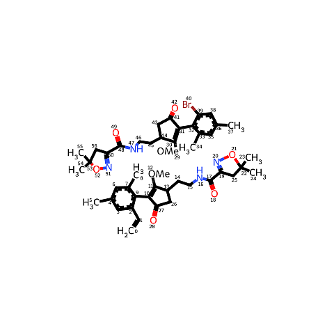 C=Cc1cc(C)cc(C)c1C1=C(OC)C(CCNC(=O)C2=NOC(C)(C)C2)CC1=O.COC1=C(c2c(C)cc(C)cc2Br)C(=O)CC1CCNC(=O)C1=NOC(C)(C)C1